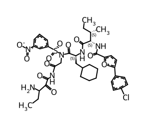 CCC(N)C(=O)C(=O)NC(=O)CN(C(=O)[C@H](CC1CCCCC1)NC(=O)[C@@H](NC(=O)c1ccc(-c2ccc(Cl)cc2)o1)[C@@H](C)CC)S(=O)(=O)c1cccc([N+](=O)[O-])c1